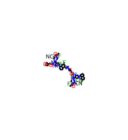 C=C(F)C(=O)N1CCN(c2nc(OCC34CC(N(C)Cc5cc(F)c(Cl)c6c(N7CCc8c(nc(OCC9CCOC9)nc8N8CCN(C(=O)C(=C)F)[C@@H](CC#N)C8)C7)cccc56)(C3)C4)nc3c2CCN(c2cccc4ccc(F)c(Cl)c24)C3)C[C@@H]1CC#N